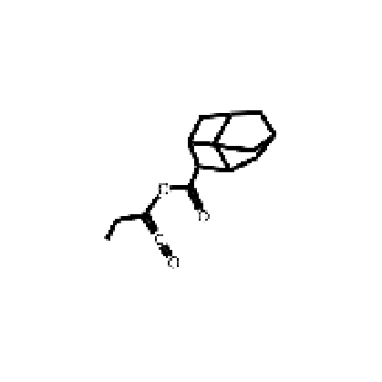 CCC(=C=O)OC(=O)C1C2CC3CC(C2)CC1C3